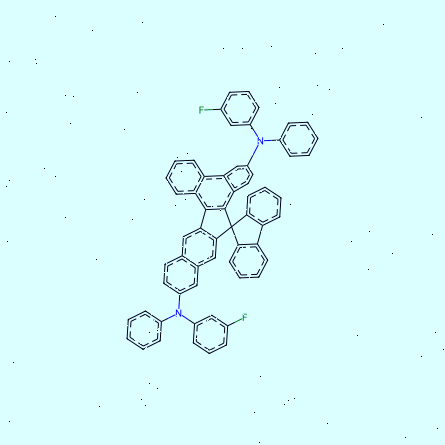 Fc1cccc(N(c2ccccc2)c2ccc3cc4c(cc3c2)C2(c3ccccc3-c3ccccc32)c2c-4c3ccccc3c3cc(N(c4ccccc4)c4cccc(F)c4)ccc23)c1